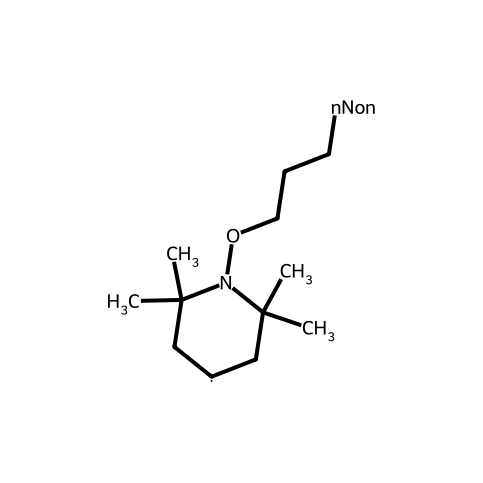 CCCCCCCCCCCCON1C(C)(C)C[CH]CC1(C)C